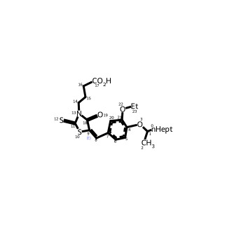 CCCCCCCC(C)Oc1ccc(/C=C2/SC(=S)N(CCCC(=O)O)C2=O)cc1OCC